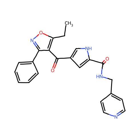 CCc1onc(-c2ccccc2)c1C(=O)c1c[nH]c(C(=O)NCc2ccncc2)c1